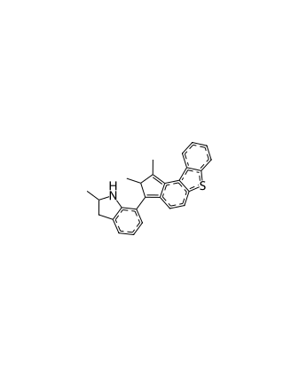 CC1=c2c(ccc3sc4ccccc4c23)=C(c2cccc3c2NC(C)C3)C1C